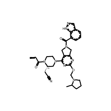 C=CC(=O)N1CCN(c2nc(OCN3CCCC3C)nc3c2CN(C(=O)c2cccc4cn[nH]c24)C3)C[C@@H]1CC#N